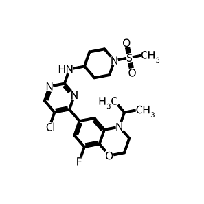 CC(C)N1CCOc2c(F)cc(-c3nc(NC4CCN(S(C)(=O)=O)CC4)ncc3Cl)cc21